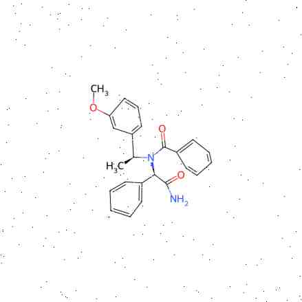 COc1cccc([C@H](C)N(C(=O)c2ccccc2)[C@@H](C(N)=O)c2ccccc2)c1